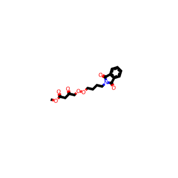 COC(=O)CC(=O)COOCCCCN1C(=O)c2ccccc2C1=O